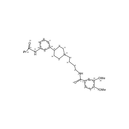 COc1ccc(C(=O)NCCCCN2CCC(c3cccc(NC(=O)C(C)C)c3)CC2)cc1OC